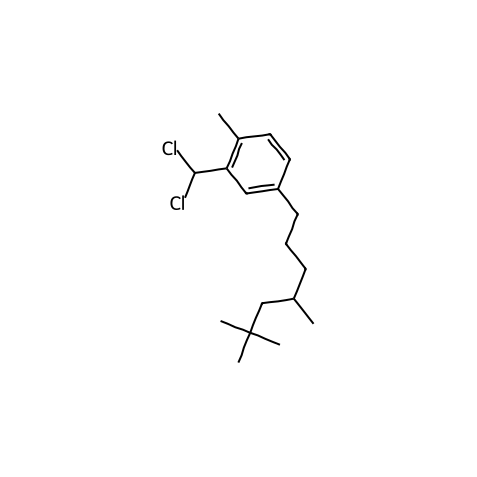 Cc1ccc(CCCC(C)CC(C)(C)C)cc1C(Cl)Cl